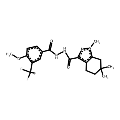 COc1ccc(C(=O)NNC(=O)c2nn(C)c3c2CCC(C)(C)C3)cc1C(F)(F)F